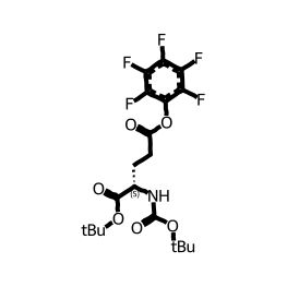 CC(C)(C)OC(=O)N[C@@H](CCC(=O)Oc1c(F)c(F)c(F)c(F)c1F)C(=O)OC(C)(C)C